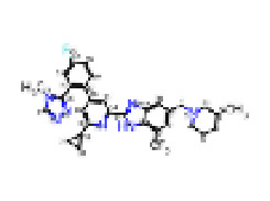 CC1CCCN(Cc2cc(C(F)(F)F)c3[nH]c(-c4cc(-c5ccc(F)cc5-c5nncn5C)cc(C5CC5)n4)nc3c2)C1